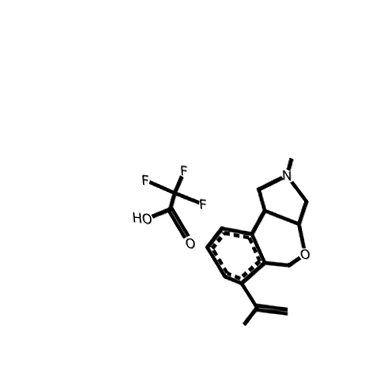 C=C(C)c1cccc2c1COC1CN(C)CC21.O=C(O)C(F)(F)F